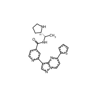 CC(NC(=O)c1ccnc(-c2cnn3ccc(-c4cccs4)nc23)c1)[C@@H]1CCCN1